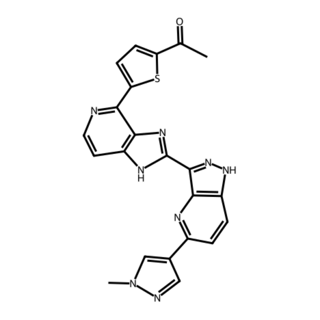 CC(=O)c1ccc(-c2nccc3[nH]c(-c4n[nH]c5ccc(-c6cnn(C)c6)nc45)nc23)s1